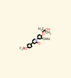 COc1cc(-n2ccc(-c3ccc(OC(F)(F)F)cc3)cc2=O)ccc1OCC(C)(C)O